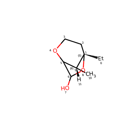 CC[C@@]12CCOC(C(O)O1)[C@H]2C